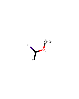 CC(I)O[C]=O